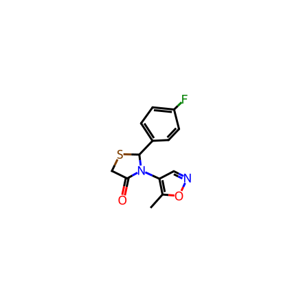 Cc1oncc1N1C(=O)CSC1c1ccc(F)cc1